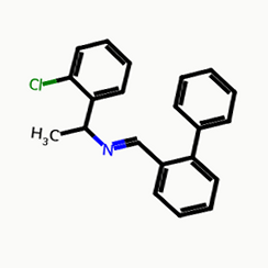 CC(N=Cc1ccccc1-c1ccccc1)c1ccccc1Cl